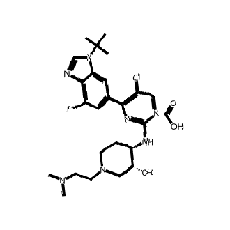 CN(C)CCN1CC[C@@H](Nc2ncc(Cl)c(-c3cc(F)c4ncn(C(C)(C)C)c4c3)n2)[C@H](O)C1.O=CO